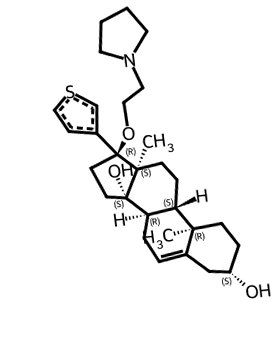 C[C@]12CC[C@H]3[C@@H](CC=C4C[C@@H](O)CC[C@@]43C)[C@@]1(O)CC[C@]2(OCCN1CCCC1)c1ccsc1